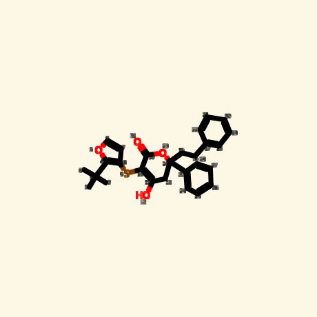 CC(C)(C)c1occc1SC1=C(O)CC(CCc2ccccc2)(c2ccccc2)OC1=O